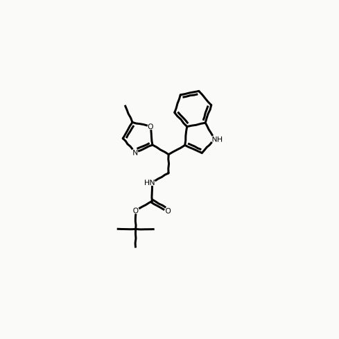 Cc1cnc(C(CNC(=O)OC(C)(C)C)c2c[nH]c3ccccc23)o1